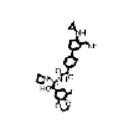 N=Cc1cc(-c2ccc(C(=O)C(=O)N[C@H](CN3CCC3)[C@H](O)c3cc(F)c4c(c3)OCCO4)cc2)ccc1NC1CC1